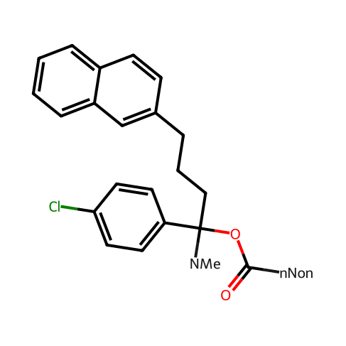 CCCCCCCCCC(=O)OC(CCCc1ccc2ccccc2c1)(NC)c1ccc(Cl)cc1